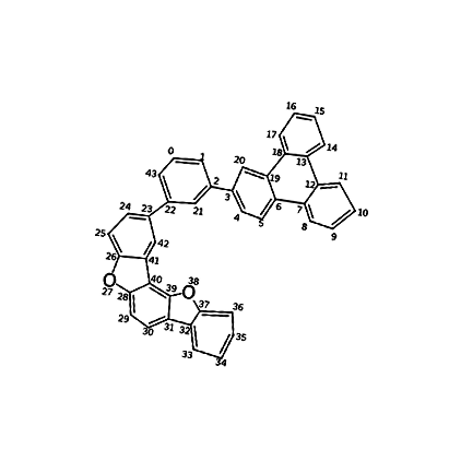 c1cc(-c2ccc3c4ccccc4c4ccccc4c3c2)cc(-c2ccc3oc4ccc5c6ccccc6oc5c4c3c2)c1